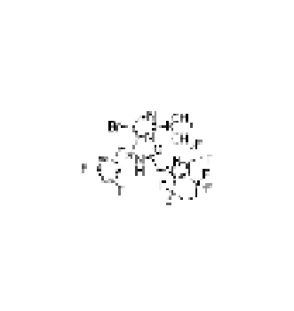 CN(C)c1ncc(Br)c([C@H](Cc2cc(F)cc(F)c2)NC(=O)Cn2nc(C(F)F)c3c2C(F)(F)CCC3(F)F)n1